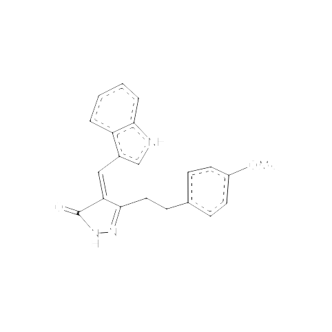 COc1ccc(CCC2=NNC(=O)C2=Cc2c[nH]c3ccccc23)cc1